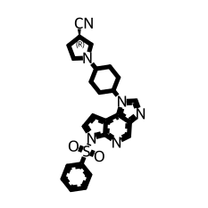 N#C[C@@H]1CCN(C2CCC(n3cnc4cnc5c(ccn5S(=O)(=O)c5ccccc5)c43)CC2)C1